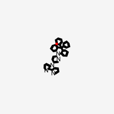 c1ccc(C2(c3ccccc3)c3ccccc3N(c3ccc(-n4c5cccnc5c5ncccc54)cn3)c3ccccc32)cc1